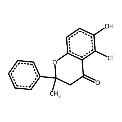 CC1(c2ccccc2)CC(=O)c2c(ccc(O)c2Cl)O1